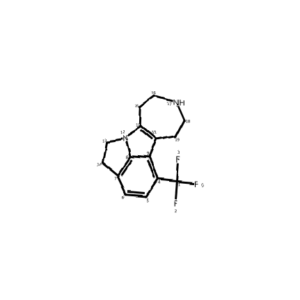 FC(F)(F)c1ccc2c3c1c1c(n3CC2)CCNCC1